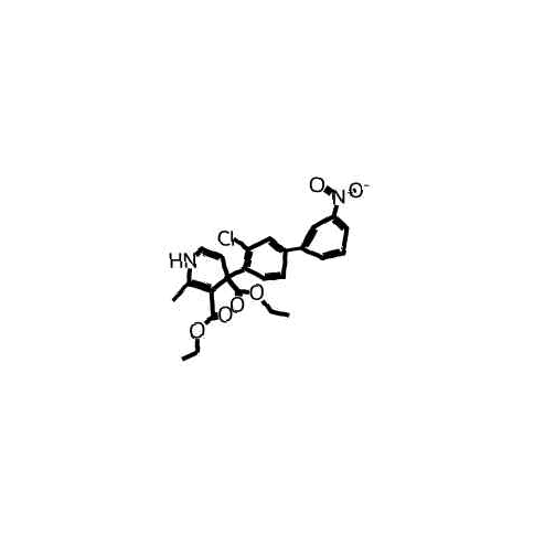 CCOC(=O)C1=C(C)NC=CC1(C(=O)OCC)c1ccc(-c2cccc([N+](=O)[O-])c2)cc1Cl